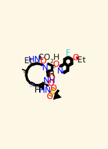 CCOc1cc2ccnc(O[C@@H]3C[C@H]4C(=O)N[C@]5(C(=O)NS(=O)(=O)C6(C)CC6)C[C@H]5/C=C\CC[C@@H](C)C[C@@H](CC)[C@H](NC(=O)O)C(=O)N4C3)c2cc1F